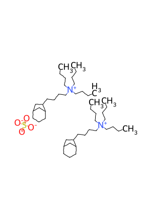 CCCC[N+](CCCC)(CCCC)CCCCC1CC2CCCC1C2.CCCC[N+](CCCC)(CCCC)CCCCC1CC2CCCC1C2.O=S(=O)([O-])[O-]